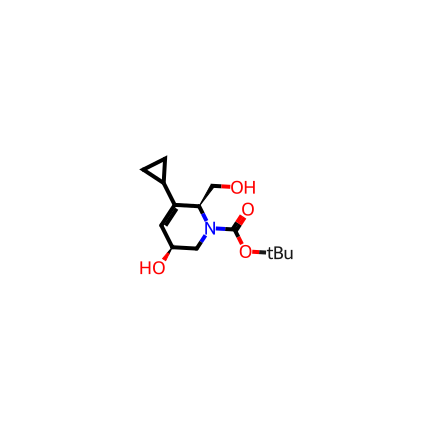 CC(C)(C)OC(=O)N1C[C@@H](O)C=C(C2CC2)[C@H]1CO